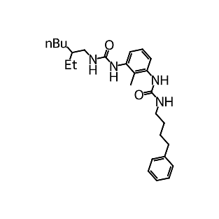 CCCCC(CC)CNC(=O)Nc1cccc(NC(=O)NCCCCc2ccccc2)c1C